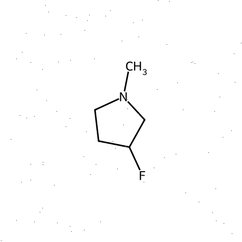 CN1CCC(F)C1